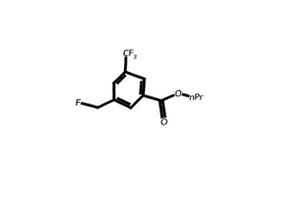 CCCOC(=O)c1cc(CF)cc(C(F)(F)F)c1